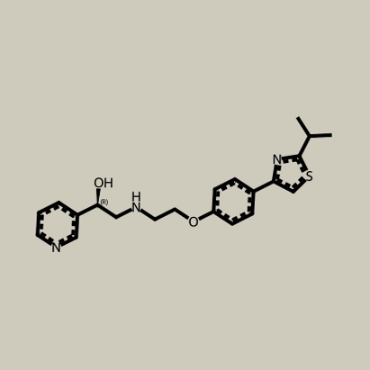 CC(C)c1nc(-c2ccc(OCCNC[C@H](O)c3cccnc3)cc2)cs1